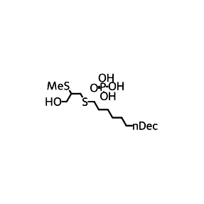 CCCCCCCCCCCCCCCCSCC(CO)SC.O=P(O)(O)O